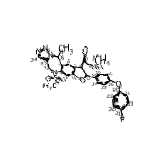 CNC(=O)C1c2cc3c(cc2OC1c1ccc(Oc2ccc(F)cc2)cc1)N(S(C)(=O)=O)Cc1cnnn1[C@H]3C